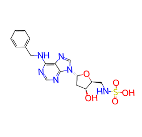 O=S(=O)(O)NC[C@@H]1O[C@@H](n2cnc3c(NCc4ccccc4)ncnc32)C[C@@H]1O